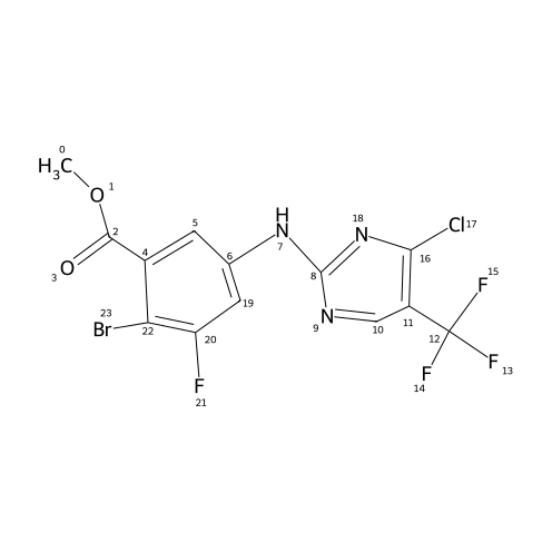 COC(=O)c1cc(Nc2ncc(C(F)(F)F)c(Cl)n2)cc(F)c1Br